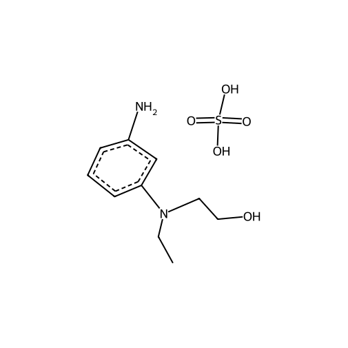 CCN(CCO)c1cccc(N)c1.O=S(=O)(O)O